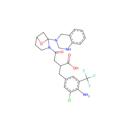 Nc1c(Cl)cc(CC(CC(=O)N2CCC3CC2(N2CNc4ccccc4C2)O3)C(=O)O)cc1C(F)(F)F